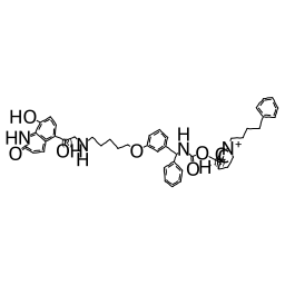 O=C(NC(c1ccccc1)c1cccc(OCCCCCNC[C@H](O)c2ccc(O)c3[nH]c(=O)ccc23)c1)O[C@H]1C[N+]2(CCCCc3ccccc3)CCC1CC2